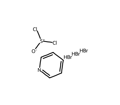 Br.Br.Br.[O-][S+](Cl)Cl.c1ccncc1